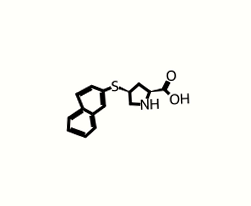 O=C(O)[C@@H]1C[C@H](Sc2ccc3ccccc3c2)CN1